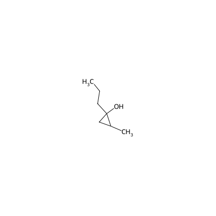 CCCC1(O)CC1C